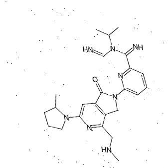 CNCc1nc(N2CCCC2C)cc2c1CN(c1cccc(C(=N)N(C=N)C(C)C)n1)C2=O